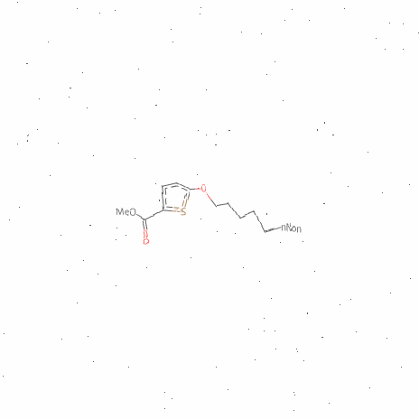 CCCCCCCCCCCCCCOc1ccc(C(=O)OC)s1